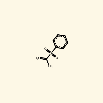 C=C(C)S(=O)(=O)c1ccccc1